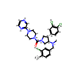 CN(Cc1ccc(C(F)(F)F)c(F)c1)[C@H]1CN(C(=O)N2CCN(c3cnccn3)CC2)C[C@@H]1c1ccc(Cl)c(Cl)c1